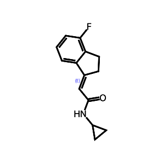 O=C(/C=C1\CCc2c(F)cccc21)NC1CC1